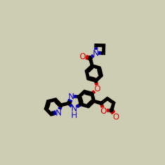 O=C1CCC(c2cc3[nH]c(-c4ccccn4)nc3cc2Oc2ccc(C(=O)N3CCC3)cc2)O1